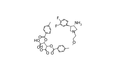 COCCN1C[C@@H](N)[C@H](c2ccc(F)c(F)c2)C1.Cc1ccc(C(=O)OC(C(=O)O)C(OC(=O)c2ccc(C)cc2)C(=O)O)cc1